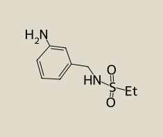 CCS(=O)(=O)NCc1cccc(N)c1